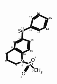 CS(=O)(=O)N1CCCc2cc([Se]c3ccccc3)ccc21